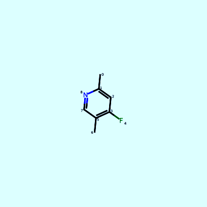 Cc1cc(F)c(C)cn1